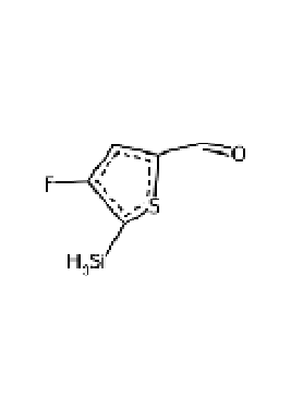 O=Cc1cc(F)c([SiH3])s1